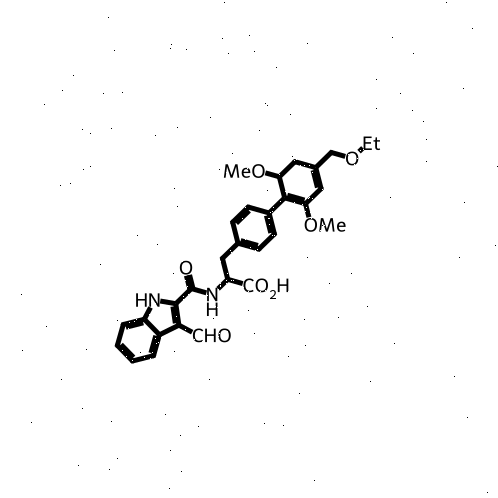 CCOCC1=CC(OC)=C(c2ccc(CC(NC(=O)c3[nH]c4ccccc4c3C=O)C(=O)O)cc2)C(OC)C1